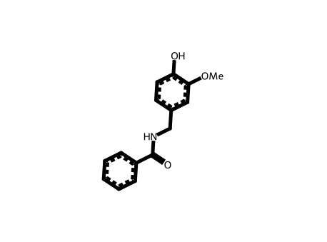 COc1cc(CNC(=O)c2ccccc2)ccc1O